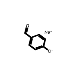 O=Cc1ccc([O-])cc1.[Na+]